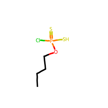 CCCCOP(=S)(S)Cl